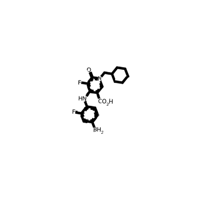 Bc1ccc(Nc2c(C(=O)O)cn(CC3CCCCC3)c(=O)c2F)c(F)c1